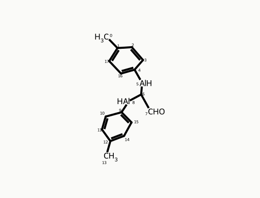 Cc1cc[c]([AlH][CH](C=O)[AlH][c]2ccc(C)cc2)cc1